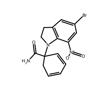 NC(=O)C1(N2CCc3cc(Br)cc([N+](=O)[O-])c32)C=CC=CC1